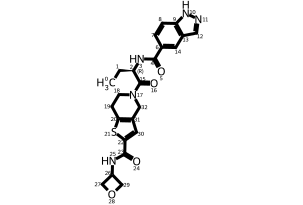 CC[C@@H](NC(=O)c1ccc2[nH]ncc2c1)C(=O)N1CCc2sc(C(=O)NC3COC3)cc2C1